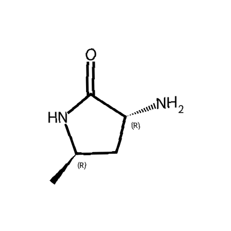 C[C@@H]1C[C@@H](N)C(=O)N1